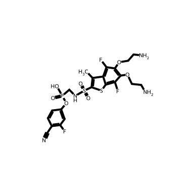 Cc1c(S(=O)(=O)NCP(=O)(O)Oc2ccc(C#N)c(F)c2)sc2c(F)c(OCCN)c(OCCN)c(F)c12